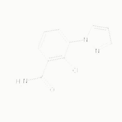 NC(=O)c1cccc(-n2cccn2)c1Cl